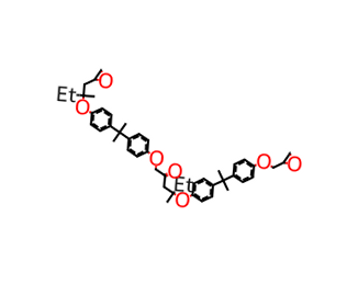 CCC(C)(CC(=O)COc1ccc(C(C)(C)c2ccc(OC(C)(CC)CC3CO3)cc2)cc1)Oc1ccc(C(C)(C)c2ccc(OCC3CO3)cc2)cc1